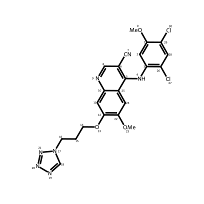 COc1cc(Nc2c(C#N)cnc3cc(OCCCn4cnnn4)c(OC)cc23)c(Cl)cc1Cl